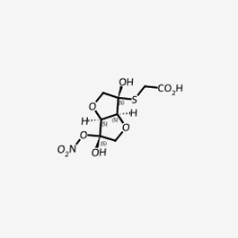 O=C(O)CS[C@@]1(O)CO[C@H]2[C@@H]1OC[C@]2(O)O[N+](=O)[O-]